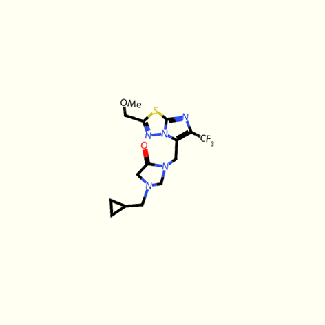 COCc1nn2c(CN3CN(CC4CC4)CC3=O)c(C(F)(F)F)nc2s1